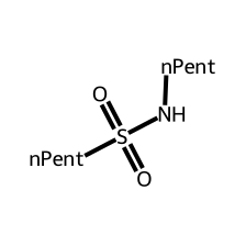 [CH2]CCCCNS(=O)(=O)CCCCC